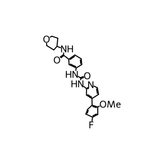 COc1cc(F)ccc1-c1ccnc(NC(=O)Nc2cccc(C(=O)NC3CCOCC3)c2)c1